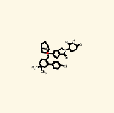 CC1(C)CCC(CN2CC3CCC(C2)N3Cc2ccc3c(c2)CN(C2CCC(=O)NC2=O)C3=O)=C(c2ccc(Cl)cc2)C1